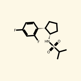 CC(C)S(=O)(=O)N[C@H]1CCC[C@H]1c1ccc(F)cc1F